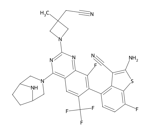 CC1(CC#N)CN(c2nc(N3CC4CCC(C3)N4)c3cc(C(F)(F)F)c(-c4ccc(F)c5sc(N)c(C#N)c45)c(F)c3n2)C1